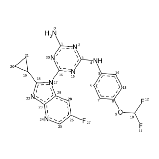 Nc1nc(Nc2ccc(OC(F)F)cc2)nc(-n2c(C3CC3)nc3ncc(F)cc32)n1